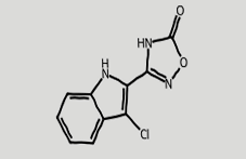 O=c1[nH]c(-c2[nH]c3ccccc3c2Cl)no1